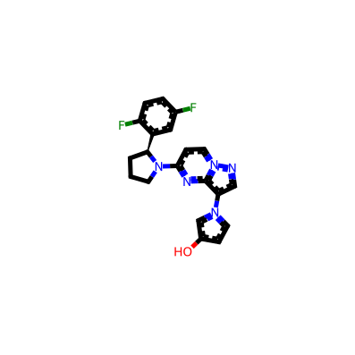 Oc1ccn(-c2cnn3ccc(N4CCC[C@H]4c4cc(F)ccc4F)nc23)c1